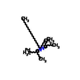 CCCCCCCCCCCCCCCCCCCCCCCC/C=C/C(=N\c1ccc(CCCCC)c(CCCCC)c1)C(/CCCCCC)=N/c1ccc(CCCCC)c(CCCCC)c1.[Pd]